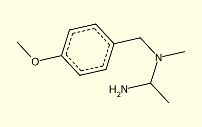 COc1ccc(CN(C)C(C)N)cc1